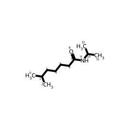 CC(C)CCCCC(=O)NC(C)C